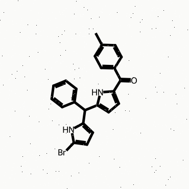 Cc1ccc(C(=O)c2ccc(C(c3ccccc3)c3ccc(Br)[nH]3)[nH]2)cc1